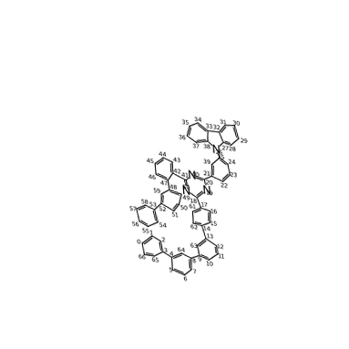 c1ccc(-c2cccc(-c3cccc(-c4ccc(-c5nc(-c6cccc(-n7c8ccccc8c8ccccc87)c6)nc(-c6ccccc6-c6cccc(-c7ccccc7)c6)n5)cc4)c3)c2)cc1